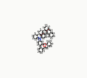 c1ccc(-c2ccc(-c3ccccc3N(c3ccc(-c4ccccc4-c4cc5ccccc5o4)cc3)c3ccc(-c4cccc5ccccc45)cc3)cc2)cc1